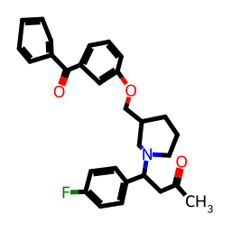 CC(=O)CC(c1ccc(F)cc1)N1CCCC(COc2cccc(C(=O)c3ccccc3)c2)C1